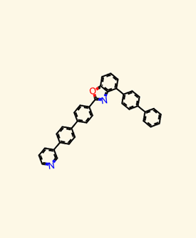 c1ccc(-c2ccc(-c3cccc4oc(-c5ccc(-c6ccc(-c7cccnc7)cc6)cc5)nc34)cc2)cc1